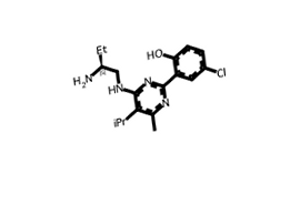 CC[C@H](N)CNc1nc(-c2cc(Cl)ccc2O)nc(C)c1C(C)C